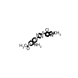 CC(=O)N1CCC2(CCN(c3cnc(Sc4ccc5nn(C)cc5c4Cl)cn3)CC2)C(N)C1